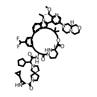 CCn1c(-c2cc(N3CCN4CCOC[C@@H]4C3)cnc2[C@H](C)OC)c2c3cc(ccc31)-c1cc(cc(C(F)F)c1)C[C@H](NC(=O)C(C1CCCC1)N1CC[C@]3(CCN(C(=O)[C@@H]4NC4C4CC4)C3)C1)C(=O)N1CCC[C@H](N1)C(=O)OCC(C)(C)C2